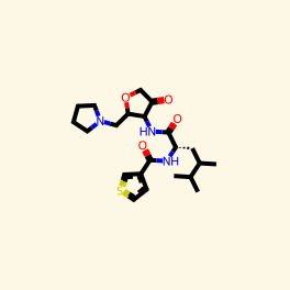 CC(C)C(C)C[C@H](NC(=O)c1ccsc1)C(=O)NC1C(=O)COC1CN1CCCC1